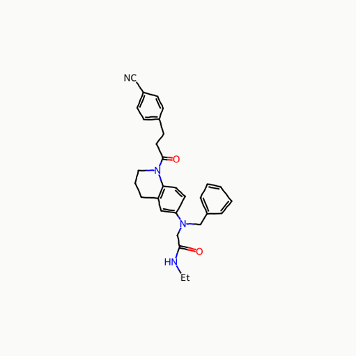 CCNC(=O)CN(Cc1ccccc1)c1ccc2c(c1)CCCN2C(=O)CCc1ccc(C#N)cc1